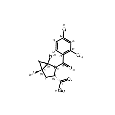 CC(C)(C)C(=O)[C@@H]1C[C@@H]2C[C@@H]2N1C(=O)c1ccc(Cl)cc1Cl